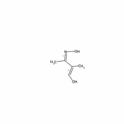 CC(=N/O)/C(C)=C/O